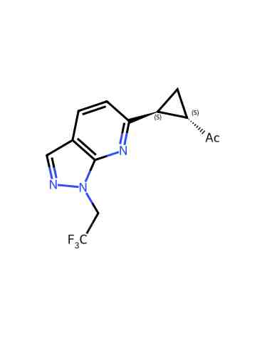 CC(=O)[C@H]1C[C@@H]1c1ccc2cnn(CC(F)(F)F)c2n1